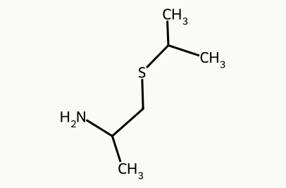 CC(N)CSC(C)C